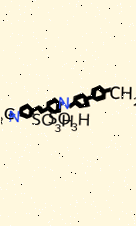 C=Cc1ccc(-c2ccc(C=Nc3ccc(/C=C/c4ccc(N=C)cc4S(=O)(=O)O)c(S(=O)(=O)O)c3)cc2)cc1